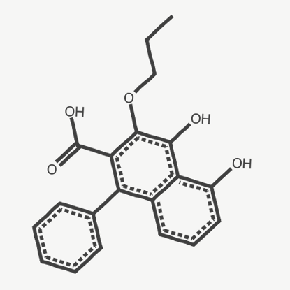 CCCOc1c(C(=O)O)c(-c2ccccc2)c2cccc(O)c2c1O